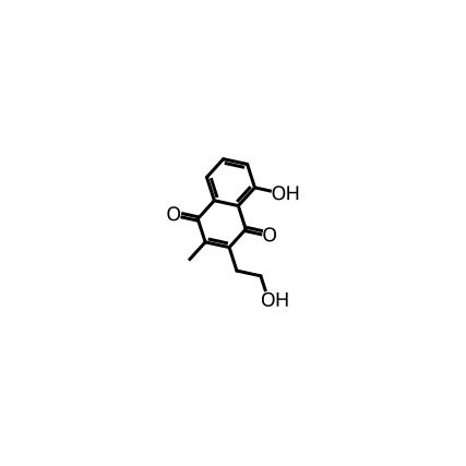 CC1=C(CCO)C(=O)c2c(O)cccc2C1=O